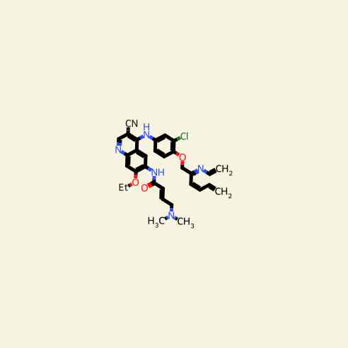 C=C/C=C\C(COc1ccc(Nc2c(C#N)cnc3cc(OCC)c(NC(=O)/C=C/CN(C)C)cc23)cc1Cl)=N/C=C